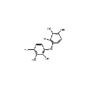 Oc1ccc(Oc2ccc(O)c(O)c2O)c(O)c1O